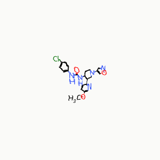 COc1ccc(C2CN(c3cnoc3)CCC2NC(=O)Nc2ccc(Cl)cc2)nc1